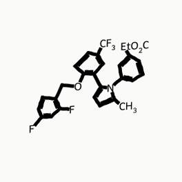 CCOC(=O)c1cccc(-n2c(C)ccc2-c2cc(C(F)(F)F)ccc2OCc2ccc(F)cc2F)c1